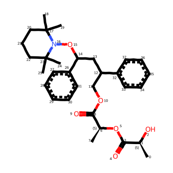 C[C@H](O)C(=O)O[C@@H](C)C(=O)OCC(CC(ON1C(C)(C)CCCC1(C)C)c1ccccc1)c1ccccc1